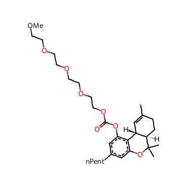 CCCCCc1cc(OC(=O)OCCOCCOCCOCCOC)c2c(c1)OC(C)(C)[C@@H]1CCC(C)=C[C@@H]21